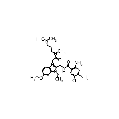 CCn1c(CNC(=O)c2nc(Cl)c(N)nc2N)[n+](CC(=O)N(C)CCCN(C)C)c2ccc(OC)cc21